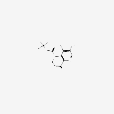 Cc1c(Br)cnc2c1N(C(=O)OC(C)(C)C)CCC2=O